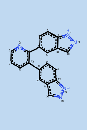 c1cnc(-c2ccc3[nH]ncc3c2)c(-c2ccc3[nH]ncc3c2)c1